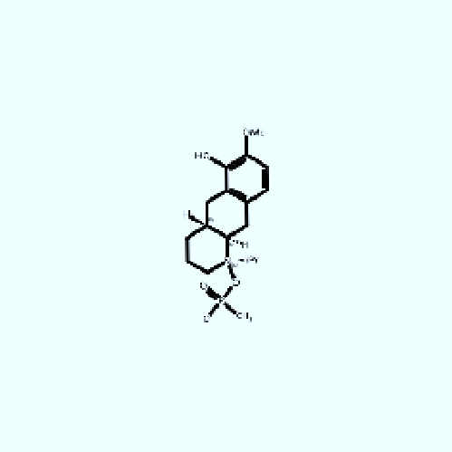 CCC[N@+]1(OP(C)(=O)[O-])CCC[C@@H]2Cc3c(ccc(OC)c3O)C[C@H]21